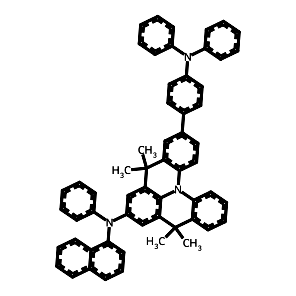 CC1(C)c2ccccc2N2c3ccc(-c4ccc(N(c5ccccc5)c5ccccc5)cc4)cc3C(C)(C)c3cc(N(c4ccccc4)c4cccc5ccccc45)cc1c32